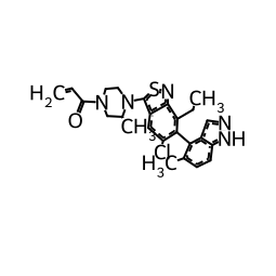 C=CC(=O)N1CCN(c2snc3c(CC)c(-c4c(C)ccc5[nH]ncc45)c(Cl)cc23)[C@@H](C)C1